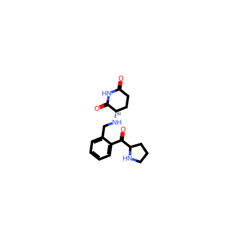 O=C1CC[C@H](NCc2ccccc2C(=O)C2CCCN2)C(=O)N1